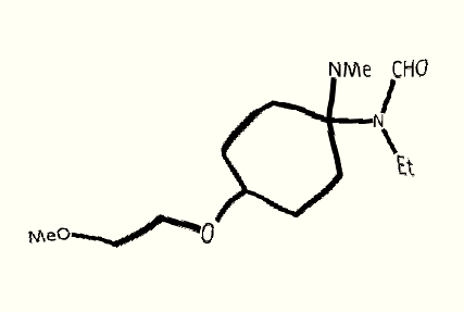 CCN(C=O)C1(NC)CCC(OCCOC)CC1